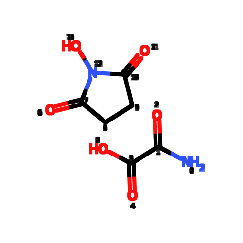 NC(=O)C(=O)O.O=C1CCC(=O)N1O